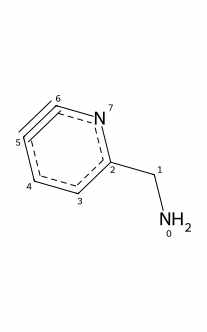 NCc1ccc#cn1